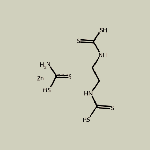 NC(=S)S.S=C(S)NCCNC(=S)S.[Zn]